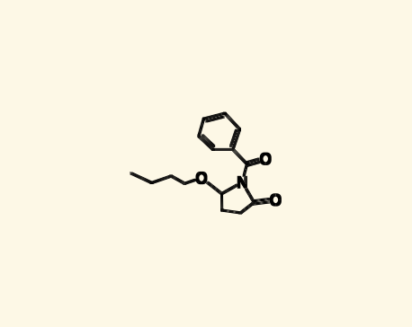 CCCCOC1CCC(=O)N1C(=O)c1ccccc1